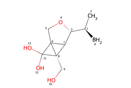 B[C@H](C)[C@H]1OCC23C1[C@@]2(CO)C3(O)O